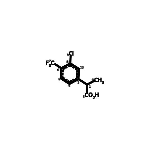 CC(C(=O)O)c1ccc(C(F)(F)F)c(Cl)c1